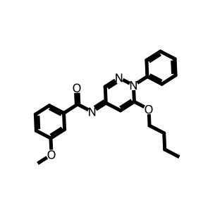 CCCCOc1cc(=NC(=O)c2cccc(OC)c2)cnn1-c1ccccc1